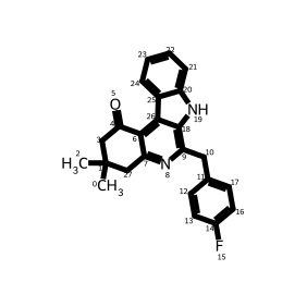 CC1(C)CC(=O)c2c(nc(Cc3ccc(F)cc3)c3[nH]c4ccccc4c23)C1